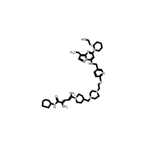 CCc1cnn2c(NCc3ccc(OCCN4CCN(CC5CCN(/C(N)=C/C=C(\N)C(=O)NC6CCCCC6)CC5)CC4)nc3)cc(N3CCCC[C@H]3CCO)nc12